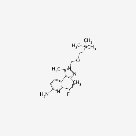 Cc1nn(COCC[Si](C)(C)C)c(C)c1-c1ccc(N)nc1C(F)F